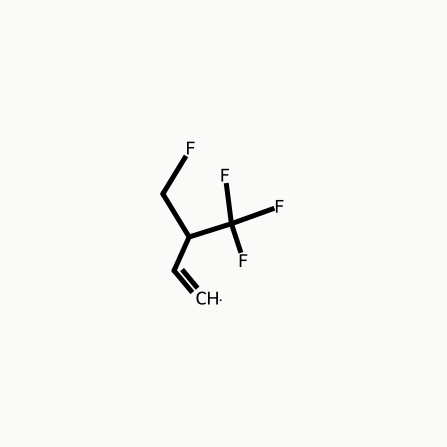 [CH]=CC(CF)C(F)(F)F